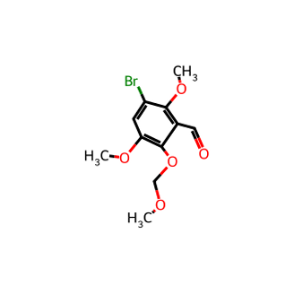 COCOc1c(OC)cc(Br)c(OC)c1C=O